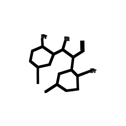 C=CC(C1CC(C)CCC1C(C)C)C(CC)C1CC(C)CCC1C(C)C